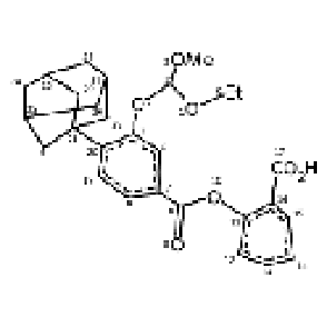 CCOC(OC)Oc1cc(C(=O)Oc2ccccc2C(=O)O)ccc1C12CC3CC(CC(C3)C1)C2